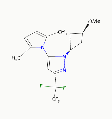 CO[C@H]1C[C@@H](n2nc(C(F)(F)C(F)(F)F)cc2-n2c(C)ccc2C)C1